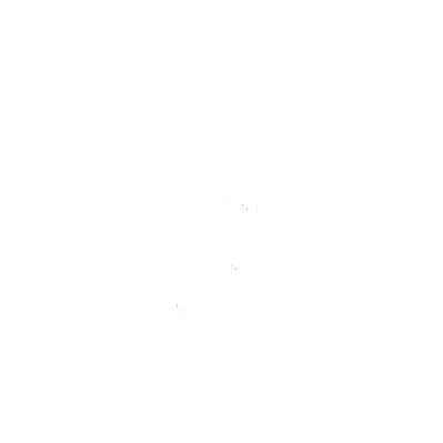 CC(C)C(NC(=S)OCc1coc2ccccc12)C(=O)NC1CCNC(=O)C1=O